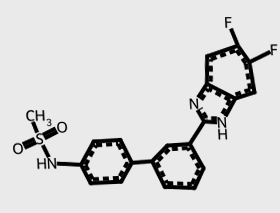 CS(=O)(=O)Nc1ccc(-c2cccc(-c3nc4cc(F)c(F)cc4[nH]3)c2)cc1